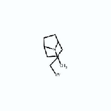 CC(C)CCN1C2CCC1CN(C)C2